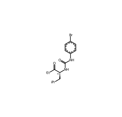 C[CH]C(=O)[C@H](CC(C)C)NC(=O)Nc1ccc(Br)cc1